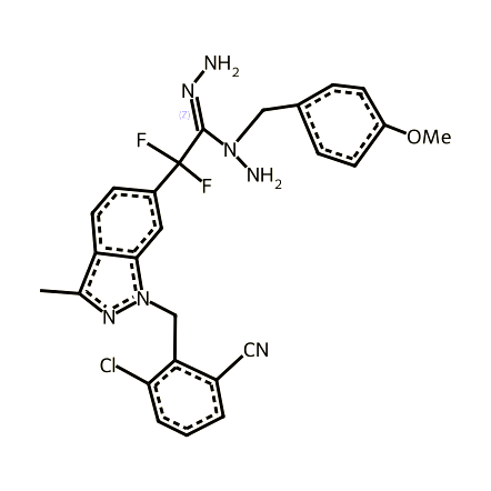 COc1ccc(CN(N)/C(=N\N)C(F)(F)c2ccc3c(C)nn(Cc4c(Cl)cccc4C#N)c3c2)cc1